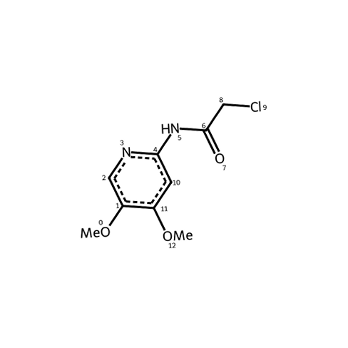 COc1cnc(NC(=O)CCl)cc1OC